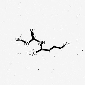 CC(=O)CCCC(NC(=O)OC(C)(C)C)C(=O)O